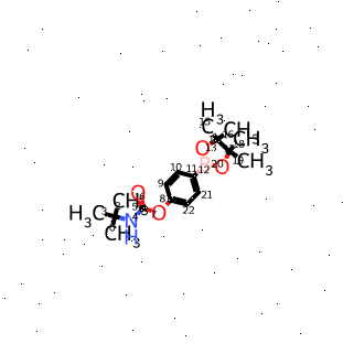 CC(C)(C)NC(=O)Oc1ccc(B2OC(C)(C)C(C)(C)O2)cc1